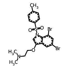 Cc1ccc(S(=O)(=O)n2cc(OCCN(C)C)c3cc(Br)cc(Br)c32)cc1